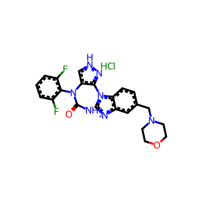 Cl.NC(=O)N(c1c[nH]nc1-n1cnc2cc(CN3CCOCC3)ccc21)c1c(F)cccc1F